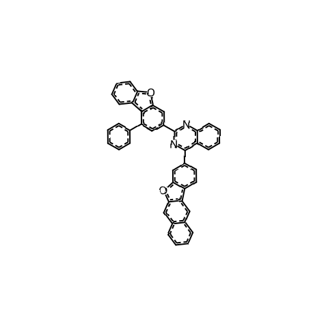 c1ccc(-c2cc(-c3nc(-c4ccc5c(c4)oc4cc6ccccc6cc45)c4ccccc4n3)cc3oc4ccccc4c23)cc1